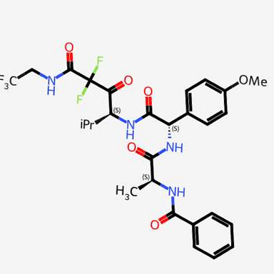 COc1ccc([C@H](NC(=O)[C@H](C)NC(=O)c2ccccc2)C(=O)N[C@H](C(=O)C(F)(F)C(=O)NCC(F)(F)F)C(C)C)cc1